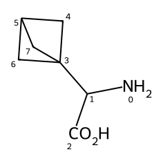 NC(C(=O)O)C12CC(C1)C2